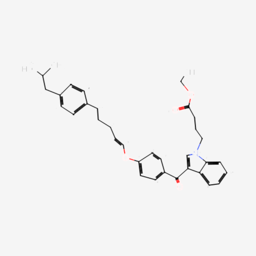 CCOC(=O)CCCn1cc(C(=O)c2ccc(OC=CCCCc3ccc(CC(C)C)cc3)cc2)c2ccccc21